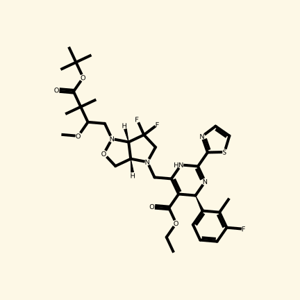 CCOC(=O)C1=C(CN2CC(F)(F)[C@@H]3[C@H]2CON3CC(OC)C(C)(C)C(=O)OC(C)(C)C)NC(c2nccs2)=N[C@H]1c1cccc(F)c1C